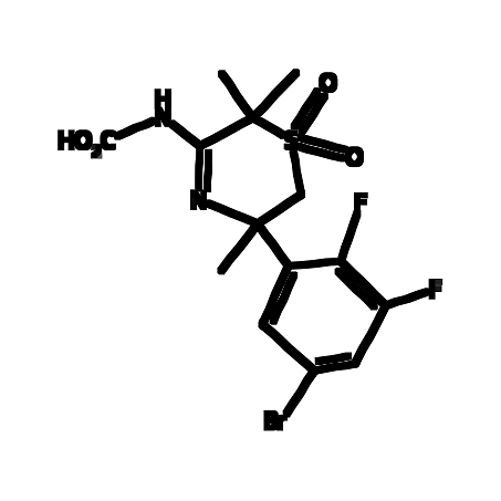 CC1(c2cc(Br)cc(F)c2F)CS(=O)(=O)C(C)(C)C(NC(=O)O)=N1